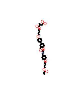 C=CC(=O)OCCCCOc1ccc(/C=C/C(=O)Oc2ccc(-c3ccc(OCCCCOC(=O)C(=C)CC(=O)OC)cc3)cc2C)cc1